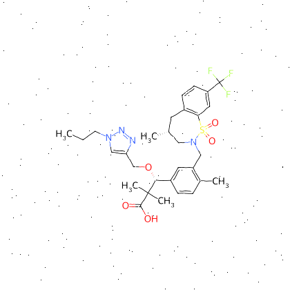 CCCn1cc(CO[C@H](c2ccc(C)c(CN3C[C@H](C)Cc4ccc(C(F)(F)F)cc4S3(=O)=O)c2)C(C)(C)C(=O)O)nn1